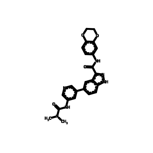 CN(C)C(=O)Nc1cncc(-c2ccc3[nH]nc(C(=O)Nc4ccc5c(c4)OCCO5)c3c2)c1